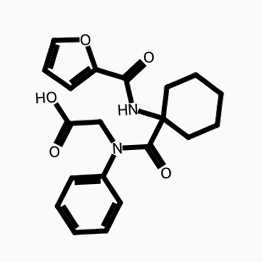 O=C(O)CN(C(=O)C1(NC(=O)c2ccco2)CCCCC1)c1ccccc1